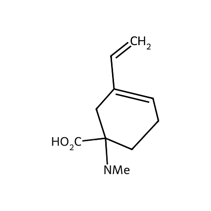 C=CC1=CCCC(NC)(C(=O)O)C1